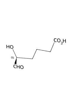 O=C[C@@H](O)CCCC(=O)O